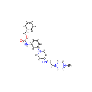 CC(C)N1CCN(CCNC2CCN(c3cccc(NC(=O)OCc4ccccc4)c3)CC2)CC1